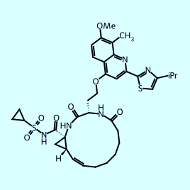 COc1ccc2c(OCC[C@@H]3NC(=O)CCCCC/C=C\[C@@H]4C[C@@]4(C(=O)NS(=O)(=O)C4CC4)NC3=O)cc(-c3nc(C(C)C)cs3)nc2c1C